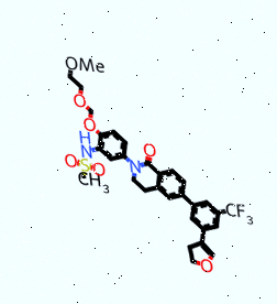 COCCOCOc1ccc(N2CCc3cc(-c4cc(C5=COCC5)cc(C(F)(F)F)c4)ccc3C2=O)cc1NS(C)(=O)=O